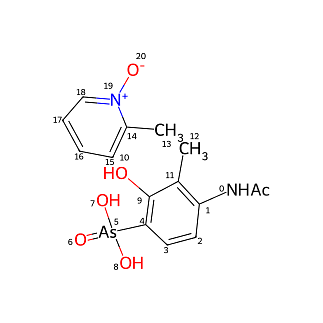 CC(=O)Nc1ccc([As](=O)(O)O)c(O)c1C.Cc1cccc[n+]1[O-]